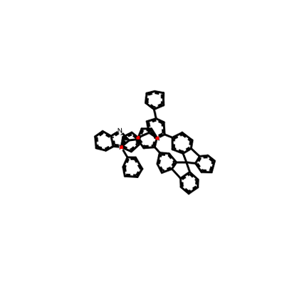 c1ccc(-c2cc(-c3ccccc3)nc(-c3ccc4c(c3)C3(c5ccccc5-c5ccc(-c6cccc(-c7nc8ccccc8n7-c7ccccc7)c6)cc53)c3ccccc3-4)c2)cc1